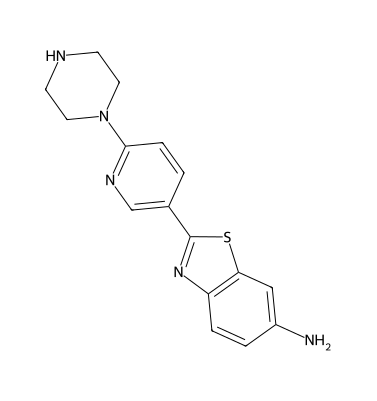 Nc1ccc2nc(-c3ccc(N4CCNCC4)nc3)sc2c1